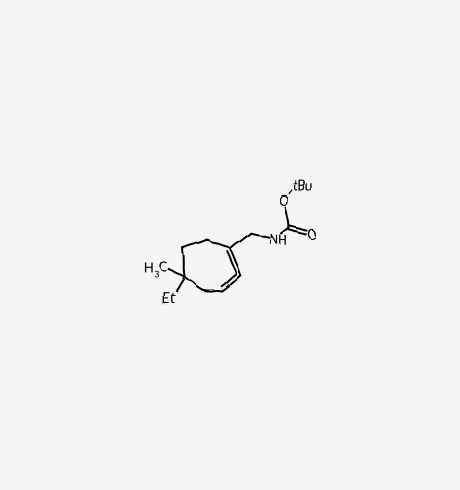 CCC1(C)CC=C=C(CNC(=O)OC(C)(C)C)CC1